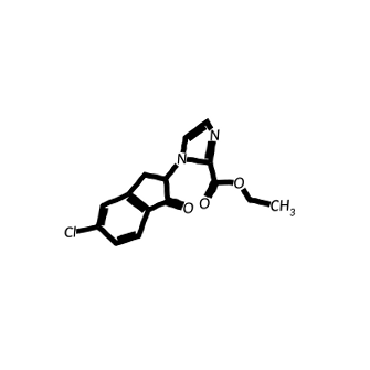 CCOC(=O)c1nccn1C1Cc2cc(Cl)ccc2C1=O